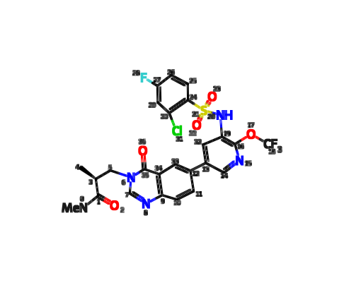 CNC(=O)[C@@H](C)Cn1cnc2ccc(-c3cnc(OC(F)(F)F)c(NS(=O)(=O)c4ccc(F)cc4Cl)c3)cc2c1=O